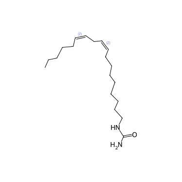 CCCCC/C=C\C/C=C\CCCCCCCCNC(N)=O